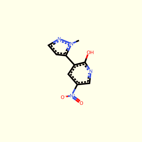 Cn1nccc1-c1cc([N+](=O)[O-])cnc1O